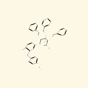 CCOc1ccc(Cc2cc([C@@H]3O[C@H](CO)[C@@H](OCc4ccccc4)[C@H](OCc4ccccc4)[C@H]3OCc3ccccc3)ccc2Cl)cc1